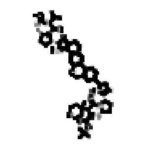 CON[C@H](C(=O)N1[C@@H](C)CC[C@H]1c1nc2ccc3cc4c(cc3c2[nH]1)OCc1cc(-c2cnc([C@@H]3CC[C@H](C)N3C(=O)[C@@H](NC(=O)OC(C)(C)C)C3(C)CCOCC3)[nH]2)ccc1-4)C(C)C